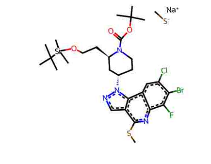 CSc1nc2c(F)c(Br)c(Cl)cc2c2c1cnn2[C@H]1CCN(C(=O)OC(C)(C)C)[C@H](CCO[Si](C)(C)C(C)(C)C)C1.C[S-].[Na+]